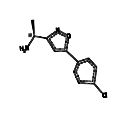 C[C@H](N)c1cc(-c2ccc(Cl)cc2)on1